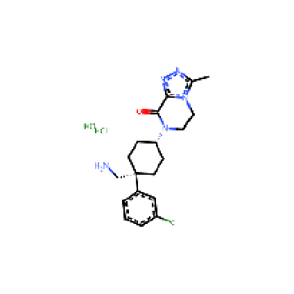 Cc1nnc2n1CCN([C@H]1CC[C@](CN)(c3cccc(Cl)c3)CC1)C2=O.Cl.Cl